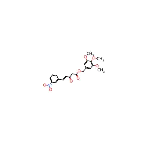 COc1cc(COC(=O)CC(=O)C=Cc2cccc([N+](=O)[O-])c2)cc(OC)c1OC